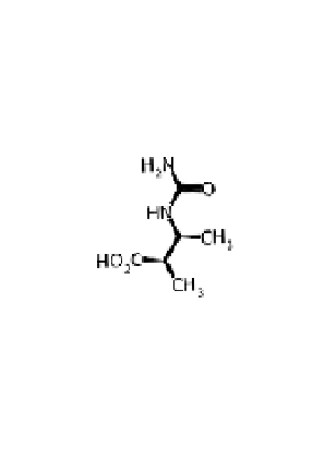 C[C@H](NC(N)=O)[C@@H](C)C(=O)O